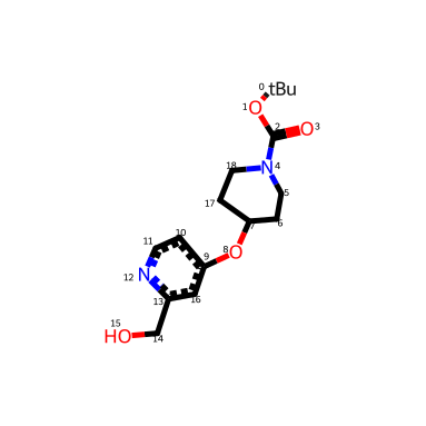 CC(C)(C)OC(=O)N1CCC(Oc2ccnc(CO)c2)CC1